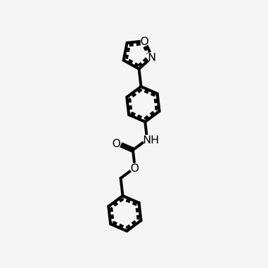 O=C(Nc1ccc(-c2ccon2)cc1)OCc1ccccc1